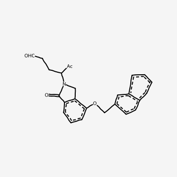 CC(=O)C(CCC=O)N1Cc2c(OCc3ccc4ccccc4c3)cccc2C1=O